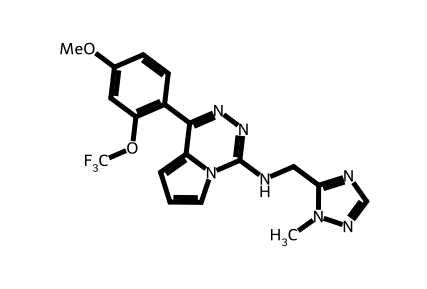 COc1ccc(-c2nnc(NCc3ncnn3C)n3cccc23)c(OC(F)(F)F)c1